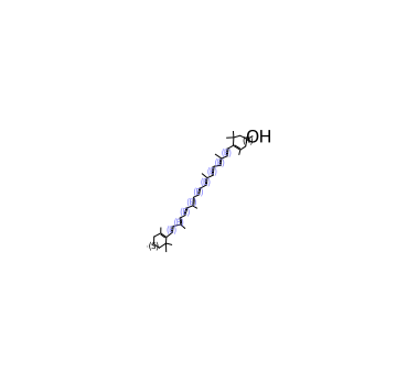 CC1=C(/C=C/C(C)=C/C=C/C(C)=C/C=C/C=C(C)/C=C/C=C(C)/C=C/C2=C(C)C[C@H](O)CC2(C)C)C(C)(C)C[C@H](C)C1